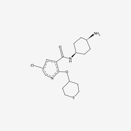 N[C@H]1CC[C@@H](NC(=O)c2cc(Cl)cnc2OC2CCSCC2)CC1